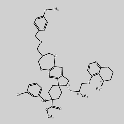 COC(=O)C1(Nc2cccc(Cl)c2)CCC2(CC1)c1cc3c(cc1C[C@@H]2C[C@@H](C)COc1ccnc2c1[C@H](C)CCC2)OCC(COCc1ccc(OC)cc1)CO3